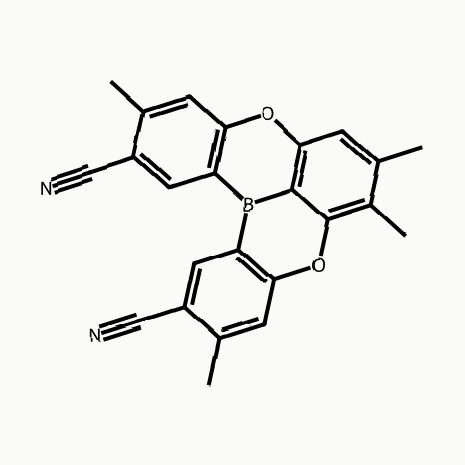 Cc1cc2c(cc1C#N)B1c3cc(C#N)c(C)cc3Oc3c(C)c(C)cc(c31)O2